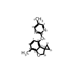 Cc1cnc(Oc2ccc(C)c3c2C2(CC2)CO3)nc1